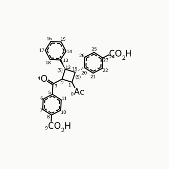 CC(=O)C1C(C(=O)c2ccc(C(=O)O)cc2)[C@@H](c2ccccc2)[C@@H]1c1ccc(C(=O)O)cc1